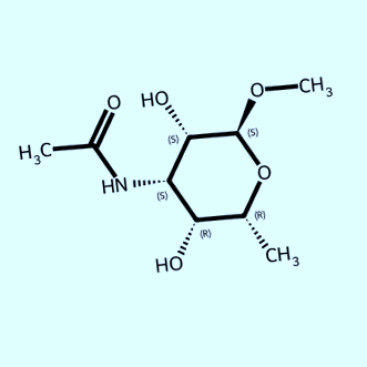 CO[C@H]1O[C@H](C)[C@H](O)[C@H](NC(C)=O)[C@@H]1O